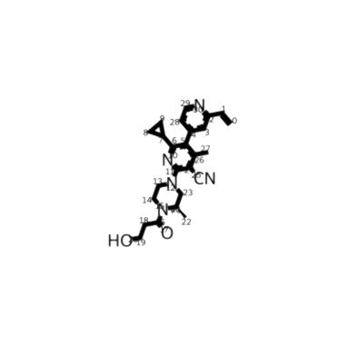 C=Cc1cc(-c2c(C3CC3)nc(N3CCN(C(=O)CCO)[C@H](C)C3)c(C#N)c2C)ccn1